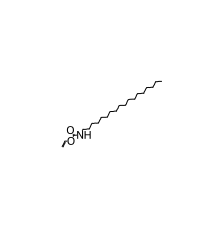 C=COC(=O)NCCCCCCCCCCCCCCCCCC